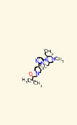 CCC1CN(C)CC(CC)N1c1ccnc(C2CCN(CC(=O)C(C)C)CC2)n1